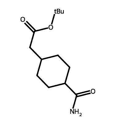 CC(C)(C)OC(=O)CC1CCC(C(N)=O)CC1